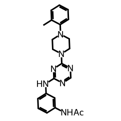 CC(=O)Nc1cccc(Nc2ncnc(N3CCN(c4ccccc4C)CC3)n2)c1